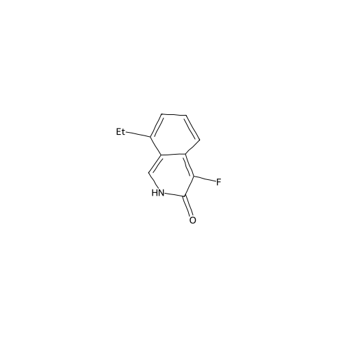 CCc1cccc2c(F)c(=O)[nH]cc12